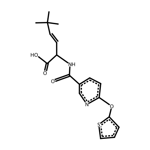 CC(C)(C)/C=C/C(NC(=O)c1ccc(Oc2cccs2)nc1)C(=O)O